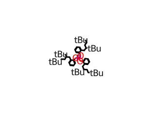 CC(C)(C)CCC(Cc1ccccc1OP(Oc1ccccc1CC(CCC(C)(C)C)C(C)(C)C)Oc1ccccc1CC(CCC(C)(C)C)C(C)(C)C)C(C)(C)C